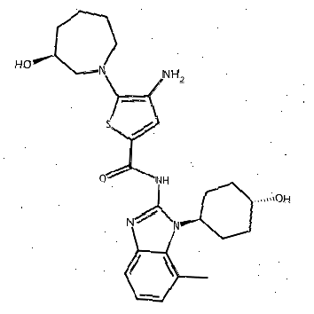 Cc1cccc2nc(NC(=O)c3cc(N)c(N4CCCC[C@H](O)C4)s3)n([C@H]3CC[C@H](O)CC3)c12